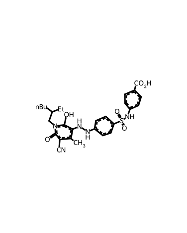 CCCCC(CC)Cn1c(O)c(NNc2ccc(S(=O)(=O)Nc3ccc(C(=O)O)cc3)cc2)c(C)c(C#N)c1=O